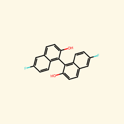 Oc1ccc2cc(F)ccc2c1-c1c(O)ccc2cc(F)ccc12